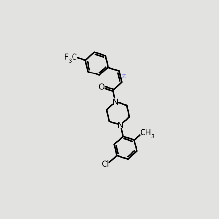 Cc1ccc(Cl)cc1N1CCN(C(=O)/C=C\c2ccc(C(F)(F)F)cc2)CC1